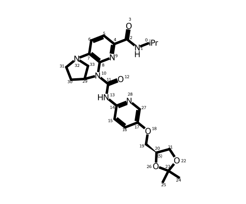 CC(C)NC(=O)c1ccc2c(n1)N(C(=O)Nc1ccc(OC[C@H]3COC(C)(C)O3)cn1)C1CCN2C1